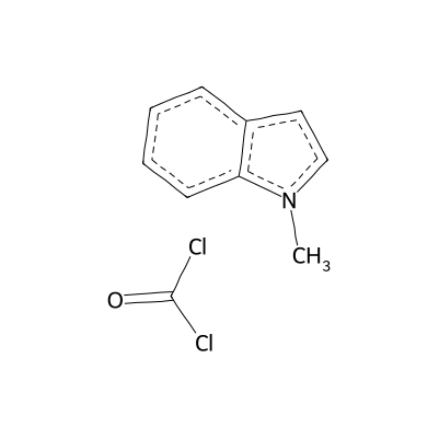 Cn1ccc2ccccc21.O=C(Cl)Cl